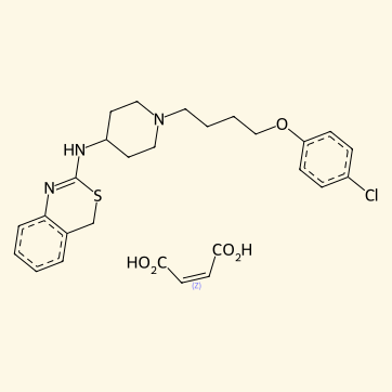 Clc1ccc(OCCCCN2CCC(NC3=Nc4ccccc4CS3)CC2)cc1.O=C(O)/C=C\C(=O)O